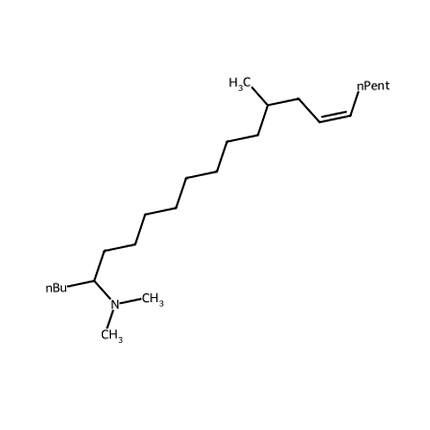 CCCCC/C=C\CC(C)CCCCCCCCC(CCCC)N(C)C